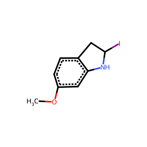 COc1ccc2c(c1)NC(I)C2